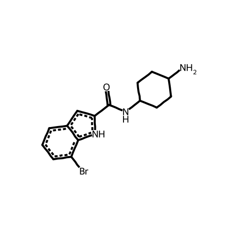 NC1CCC(NC(=O)c2cc3cccc(Br)c3[nH]2)CC1